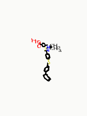 CC(C)N(Cc1ccc(C(=O)O)cc1)c1nc(-c2ccc(SCc3ccc(C4CCCCC4)cc3)cc2)cs1